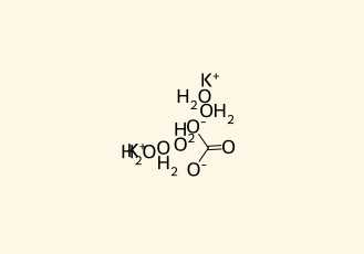 O.O.O.O.O.O=C([O-])[O-].[K+].[K+]